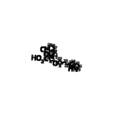 O=C(N[C@@H](CCOC1CC(CCc2ccc3c(n2)NCCC3)C1)C(=O)O)c1c(F)cccc1Cl